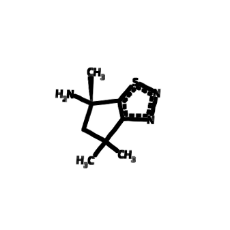 CC1(C)C[C@](C)(N)c2snnc21